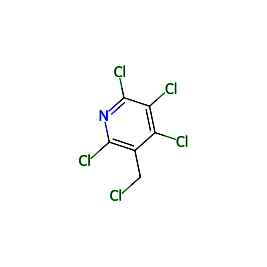 ClCc1c(Cl)nc(Cl)c(Cl)c1Cl